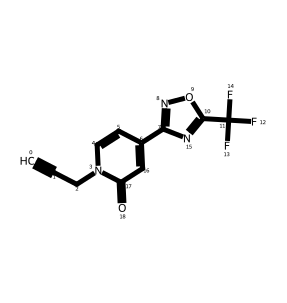 C#CCn1ccc(-c2noc(C(F)(F)F)n2)cc1=O